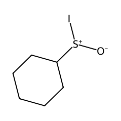 [O-][S+](I)C1CCCCC1